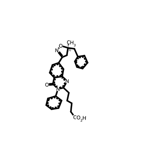 C[C@]1(Cc2ccccc2)CC(c2ccc3c(=O)n(-c4ccccc4)c(CCCCC(=O)O)nc3c2)=NO1